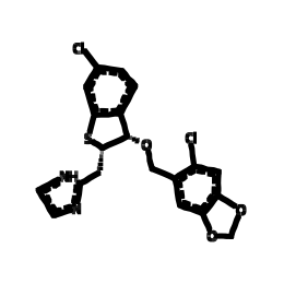 Clc1ccc2c(c1)S[C@@H](Cc1ncc[nH]1)[C@H]2OCc1cc2c(cc1Cl)OCO2